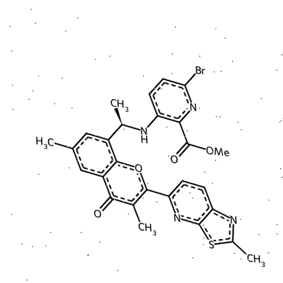 COC(=O)c1nc(Br)ccc1N[C@H](C)c1cc(C)cc2c(=O)c(C)c(-c3ccc4nc(C)sc4n3)oc12